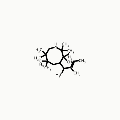 CC=C(C)C(C)C1CC(C)(C)C(C)(C)CNC(C)(C)C1(C)C